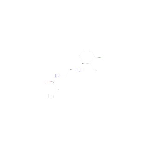 CC(C)(C)OC(=O)NCCNc1cccc(F)c1Br